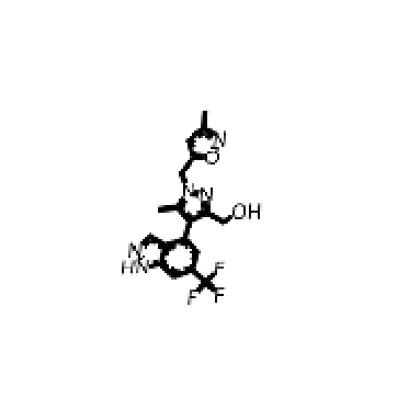 Cc1cc(Cn2nc(CO)c(-c3cc(C(F)(F)F)cc4[nH]ncc34)c2C)on1